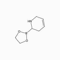 C1=CCC(B2OCCO2)NC1